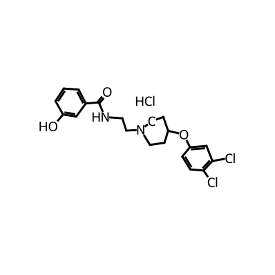 Cl.O=C(NCCN1CCC(Oc2ccc(Cl)c(Cl)c2)CC1)c1cccc(O)c1